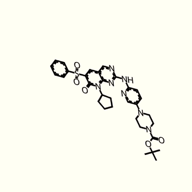 CC(C)(C)OC(=O)N1CCN(c2ccc(Nc3ncc4cc(S(=O)(=O)c5ccccc5)c(=O)n(C5CCCC5)c4n3)nc2)CC1